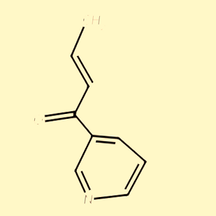 [CH2]C=CC(=O)c1cccnc1